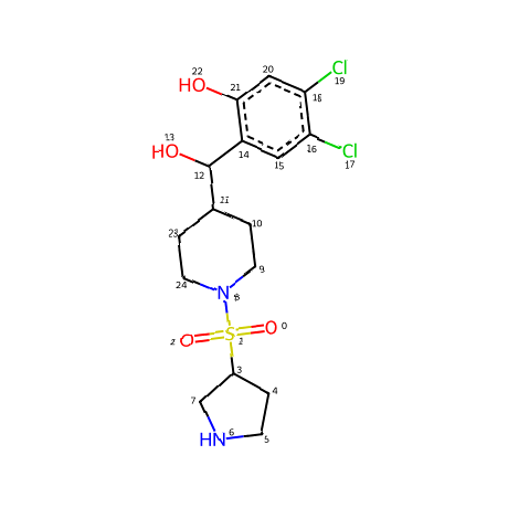 O=S(=O)(C1CCNC1)N1CCC(C(O)c2cc(Cl)c(Cl)cc2O)CC1